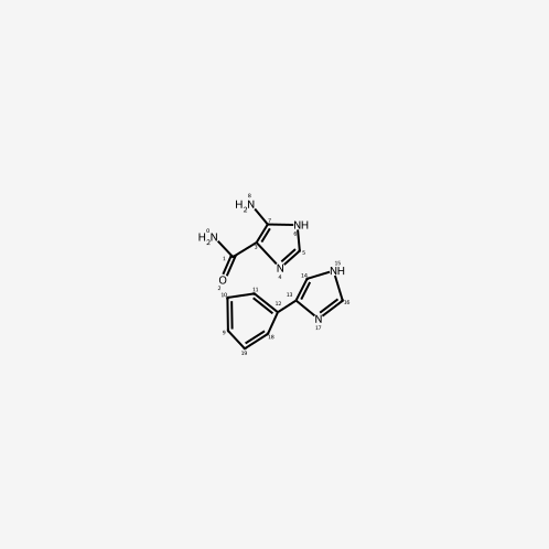 NC(=O)c1nc[nH]c1N.c1ccc(-c2c[nH]cn2)cc1